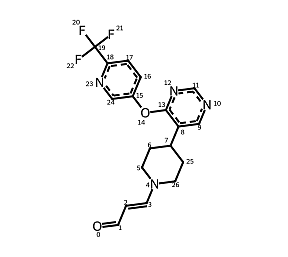 O=CC=CN1CCC(c2cncnc2Oc2ccc(C(F)(F)F)nc2)CC1